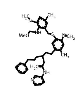 C=Nc1cc(C)c(CCC(CCCc2ccccc2)CC(=C)Nc2cccnc2)cc1SCc1cc(C)cc(N=C)c1NCOC